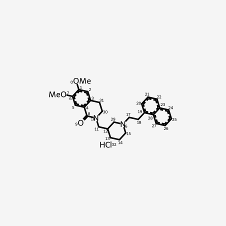 COc1cc2c(cc1OC)C(=O)N(CC1CCCN(CCc3cccc4ccccc34)C1)CC2.Cl